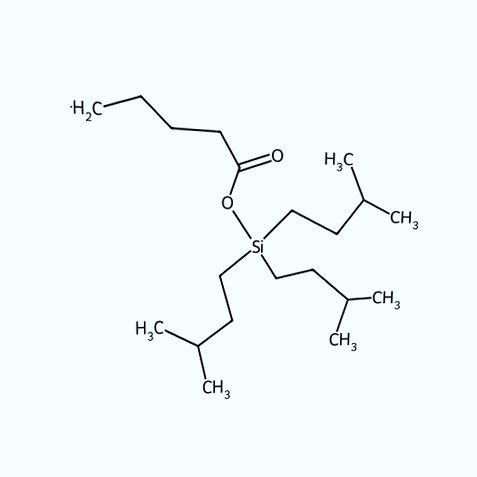 [CH2]CCCC(=O)O[Si](CCC(C)C)(CCC(C)C)CCC(C)C